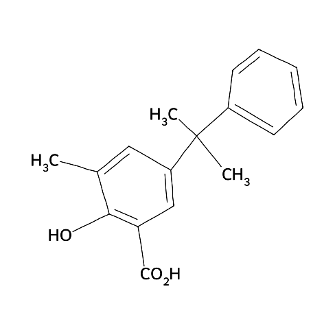 Cc1cc(C(C)(C)c2ccccc2)cc(C(=O)O)c1O